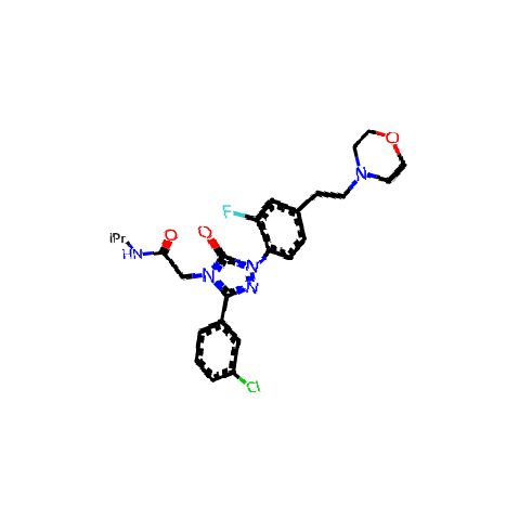 CC(C)NC(=O)Cn1c(-c2cccc(Cl)c2)nn(-c2ccc(CCN3CCOCC3)cc2F)c1=O